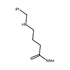 C=C(CCCNCC(C)C)NC